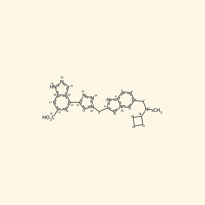 CN(Cc1ccc2nc(Cn3cc(-c4cc(C(=O)O)cc5[nH]ncc45)nn3)cn2c1)C1CCC1